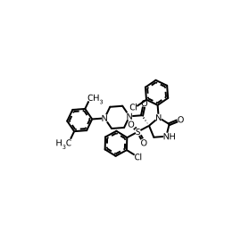 Cc1ccc(C)c(N2CCN(C(=O)[C@@]3(S(=O)(=O)c4ccccc4Cl)CNC(=O)N3c3ccccc3Cl)CC2)c1